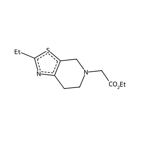 CCOC(=O)CN1CCc2nc(CC)sc2C1